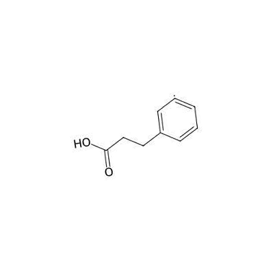 O=C(O)CCc1c[c]ccc1